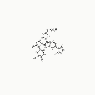 Cc1noc(C)c1-c1ccc2c(c1)nc([C@@H]1CCC(=O)N1c1ccc(F)c(F)c1)n2[C@@H]1CC[C@@H](CC(=O)O)C1